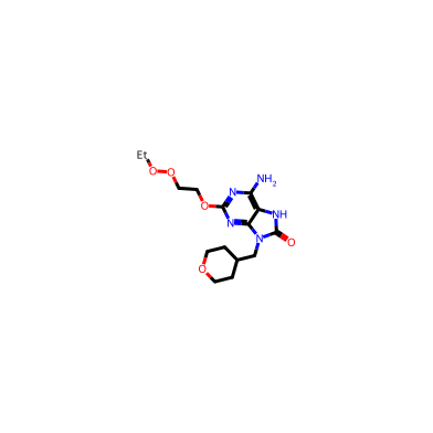 CCOOCCOc1nc(N)c2[nH]c(=O)n(CC3CCOCC3)c2n1